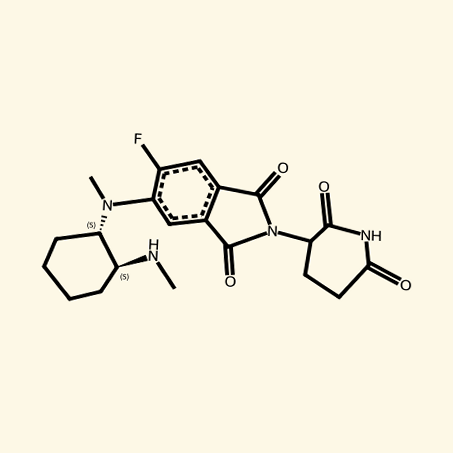 CN[C@H]1CCCC[C@@H]1N(C)c1cc2c(cc1F)C(=O)N(C1CCC(=O)NC1=O)C2=O